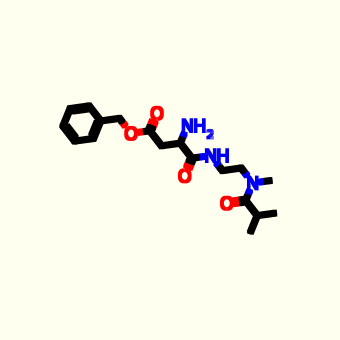 CC(C)C(=O)N(C)CCNC(=O)C(N)CC(=O)OCc1ccccc1